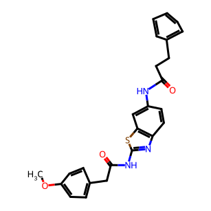 COc1ccc(CC(=O)Nc2nc3ccc(NC(=O)CCc4ccccc4)cc3s2)cc1